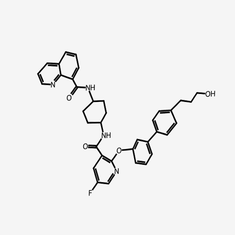 O=C(NC1CCC(NC(=O)c2cccc3cccnc23)CC1)c1cc(F)cnc1Oc1cccc(-c2ccc(CCCO)cc2)c1